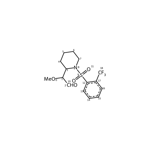 COC(C=O)C1CCCCN1S(=O)(=O)c1ccccc1C(F)(F)F